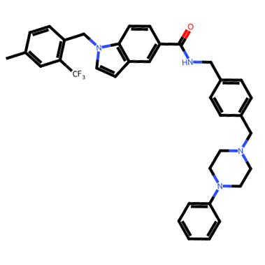 Cc1ccc(Cn2ccc3cc(C(=O)NCc4ccc(CN5CCN(c6ccccc6)CC5)cc4)ccc32)c(C(F)(F)F)c1